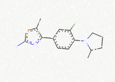 Cc1sc(N)nc1-c1ccc(N2CCCC2C(F)(F)F)c(F)c1